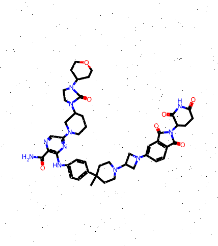 CC1(c2ccc(Nc3nc(N4CCCC(N5CCN(C6CCOCC6)C5=O)C4)cnc3C(N)=O)cc2)CCN(C2CN(c3ccc4c(c3)C(=O)N(C3CCC(=O)NC3=O)C4=O)C2)CC1